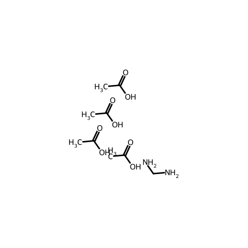 CC(=O)O.CC(=O)O.CC(=O)O.CC(=O)O.NCN